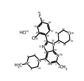 Cc1nc(N2CCN(C)CC2)c2nc(-c3ccc(F)cc3Cl)n(C3CCOCC3)c2n1.Cl